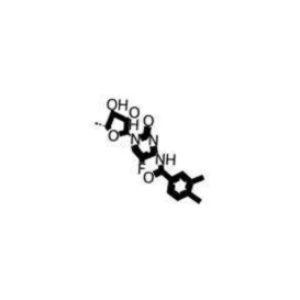 Cc1ccc(C(=O)Nc2nc(=O)n([C@@H]3O[C@H](C)[C@@H](O)[C@H]3O)cc2F)cc1C